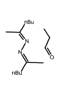 CCC=O.CCCCC(C)=NN=C(C)CCCC